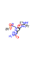 CCN[C@H](C(=O)N[C@@H](CCCNC(N)=O)C(=O)NCCNP(=O)(O)C(C)C)C(C)C